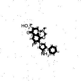 CN1COc2c(N3C[C@H](c4ccccc4)[C@@H](N)C3)c(F)cc3c(=O)c(C(=O)O)cn1c23